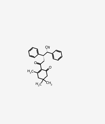 CC1=C(C(=O)C[C@H](c2ccccc2)[C@H](C#N)c2ccccc2)C(=O)CC(C)(C)C1